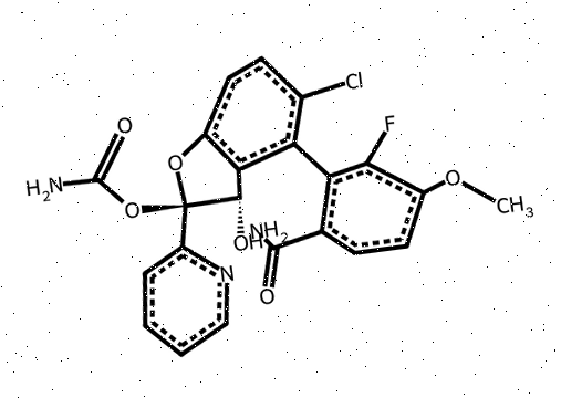 COc1ccc(C(N)=O)c(-c2c(Cl)ccc3c2[C@H](O)[C@](OC(N)=O)(c2ccccn2)O3)c1F